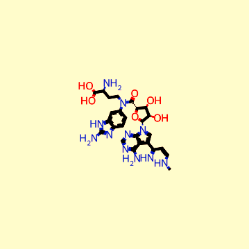 CN/C=C\C(=N)c1cn([C@@H]2O[C@H](C(=O)N(CC[C@H](N)C(O)O)c3ccc4nc(N)[nH]c4c3)[C@@H](O)[C@H]2O)c2ncnc(N)c12